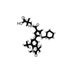 Cc1c(C(=O)NCC(C)(C)C(=O)O)cc(-c2cc(C(C)(C)C)c3c(c2)C(C)(C)C(=O)N3C)n1CC1CCCCC1